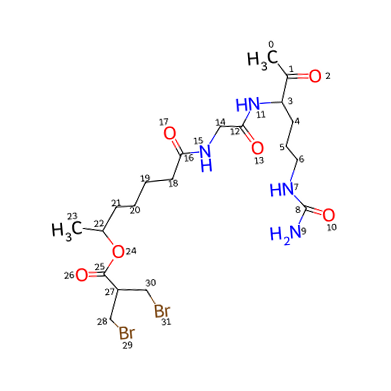 CC(=O)C(CCCNC(N)=O)NC(=O)CNC(=O)CCCCC(C)OC(=O)C(CBr)CBr